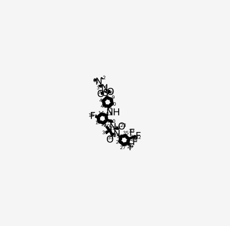 CN(C)C=NS(=O)(=O)c1ccc(Nc2cc(F)ccc2CN2C(=O)N(c3ccc(F)c(C(F)(F)F)c3)C(=O)C2(C)C)cc1